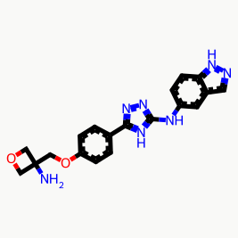 NC1(COc2ccc(-c3nnc(Nc4ccc5[nH]ncc5c4)[nH]3)cc2)COC1